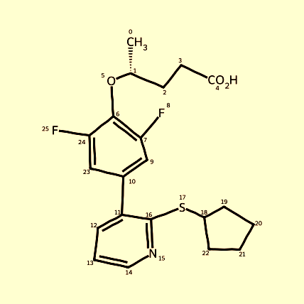 C[C@H](CCC(=O)O)Oc1c(F)cc(-c2cccnc2SC2CCCC2)cc1F